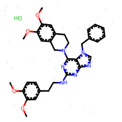 COc1ccc(CCNc2nc(N3CCc4cc(OC)c(OC)cc4C3)c3c(ncn3Cc3ccccc3)n2)cc1OC.Cl